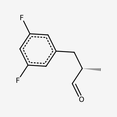 C[C@H](C=O)Cc1cc(F)cc(F)c1